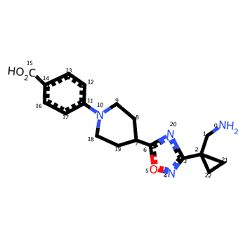 NCC1(c2noc(C3CCN(c4ccc(C(=O)O)cc4)CC3)n2)CC1